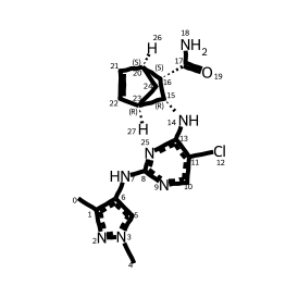 Cc1nn(C)cc1Nc1ncc(Cl)c(N[C@H]2[C@@H](C(N)=O)[C@@H]3C=C[C@H]2C3)n1